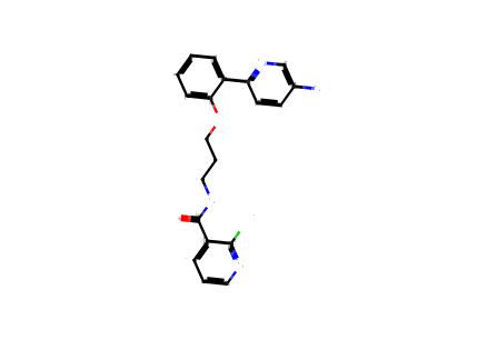 Nc1ccc(-c2ccccc2OCCCNC(=O)c2cccnc2Cl)nc1